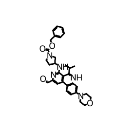 CC(C)C(=N)c1c(-c2ccc(N3CCOCC3)cc2)cc(C=O)nc1NC1CCN(C(=O)OCc2ccccc2)C1